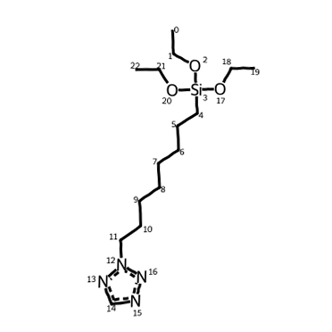 CCO[Si](CCCCCCCCn1ncnn1)(OCC)OCC